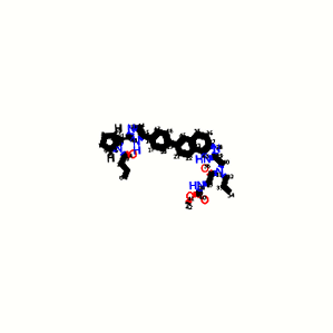 CCCC(=O)N1[C@@H]2CC[C@@H](C2)[C@H]1c1ncc(-c2ccc(-c3ccc4c(ccc5nc(CN(CCC)C(=O)CNC(=O)OC)[nH]c54)c3)cc2)[nH]1